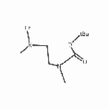 CCN(C)CCN(C)C(=O)OC(C)(C)C